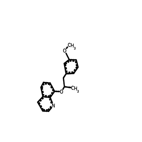 COc1cccc(CC(C)Oc2cccc3cccnc23)c1